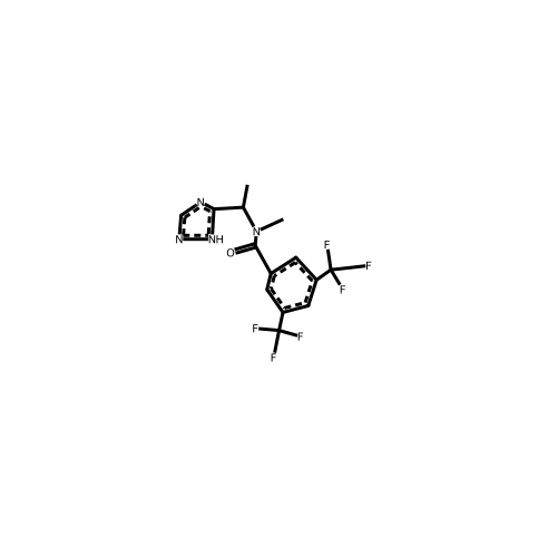 CC(c1ncn[nH]1)N(C)C(=O)c1cc(C(F)(F)F)cc(C(F)(F)F)c1